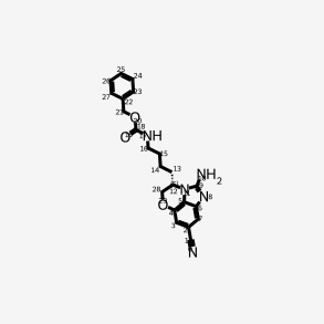 N#Cc1cc2c3c(c1)nc(N)n3[C@@H](CCCCNC(=O)OCc1ccccc1)CO2